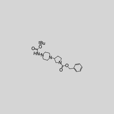 CC(C)(C)OC(=O)NN1CCN(C2CCN(C(=O)OCc3ccccc3)C2)CC1